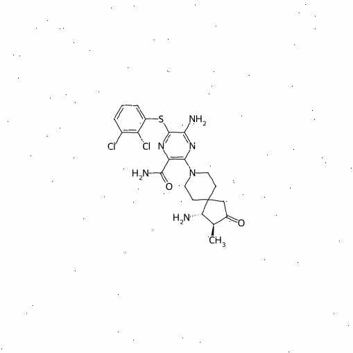 C[C@@H]1C(=O)CC2(CCN(c3nc(N)c(Sc4cccc(Cl)c4Cl)nc3C(N)=O)CC2)[C@H]1N